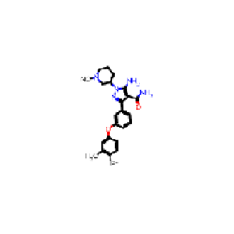 Cc1cc(Oc2cccc(-c3nn(C4CCCN(C#N)C4)c(N)c3C(N)=O)c2)ccc1C(C)C